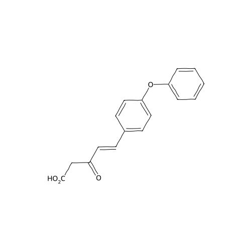 O=C(O)CC(=O)C=Cc1ccc(Oc2ccccc2)cc1